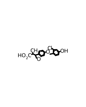 CC(C(=O)O)C1COc2cc(OCc3ccc(O)cc3Cl)ccc21